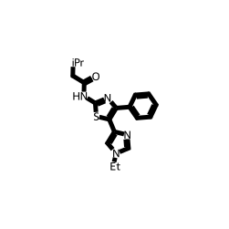 CCn1cnc(-c2sc(NC(=O)CC(C)C)nc2-c2ccccc2)c1